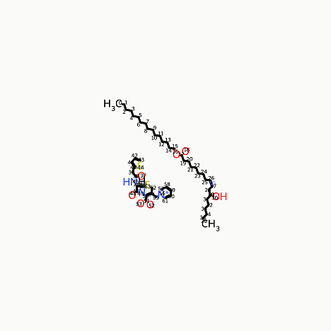 CCCCCCCCCCCCCCCCOC(=O)CCCCCCC/C=C\C[C@H](O)CCCCCC.O=C(Cc1cccs1)N[C@@H]1C(=O)N2C(C(=O)[O-])=C(C[n+]3ccccc3)CS[C@H]12